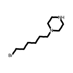 BrCCCCCCN1CCNCC1